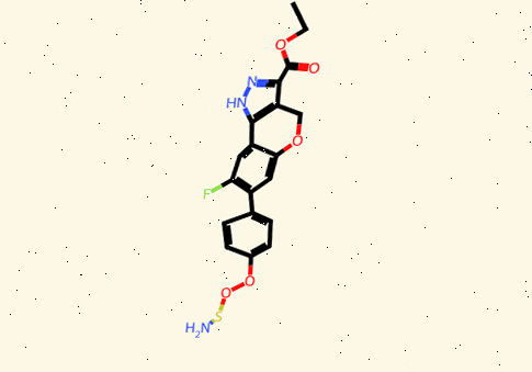 CCOC(=O)c1n[nH]c2c1COc1cc(-c3ccc(OOSN)cc3)c(F)cc1-2